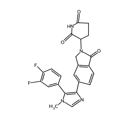 Cn1cnc(-c2ccc3c(c2)CN(C2CCC(=O)NC2=O)C3=O)c1-c1ccc(F)c(F)c1